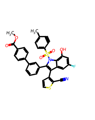 COC(=O)c1ccc(-c2cccc(-c3c(-c4ccsc4C#N)c4cc(F)cc(O)c4n3S(=O)(=O)c3c#cc(C)cc3)c2)cc1